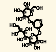 OC[C@@H](O)[C@@H](O)[C@H](O)[C@@H]1OC(ON2C=NCN(OC3O[C@H](CO)[C@@H](O)[C@H](O)[C@H]3O)C2)[C@@H](O)[C@H](O)[C@@H]1O